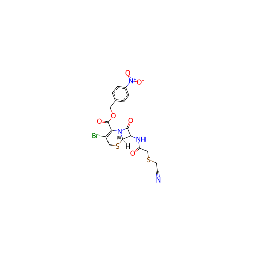 N#CCSCC(=O)NC1C(=O)N2C(C(=O)OCc3ccc([N+](=O)[O-])cc3)=C(Br)CS[C@H]12